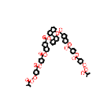 C=C(C)C(=O)OCOc1ccc(C(=O)Oc2ccc(C(=O)Oc3ccc4cc(C(=O)Oc5ccc6ccccc6c5-c5c(OC(=O)c6ccc7cc(OC(=O)c8ccc(OC(=O)c9ccc(OCOC(=O)C(=C)C)cc9)cc8)ccc7c6)ccc6ccccc56)ccc4c3)cc2)cc1